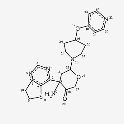 NC1(c2ncnc3c2SCC3)CC(N2CCC(Oc3ccncc3)CC2)OCC1=O